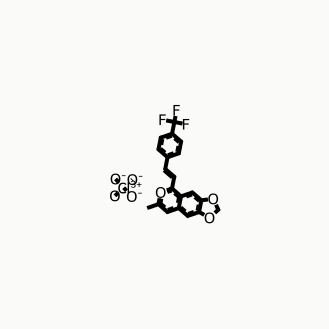 Cc1cc2cc3c(cc2c(/C=C/c2ccc(C(F)(F)F)cc2)[o+]1)OCO3.[O-][Cl+3]([O-])([O-])[O-]